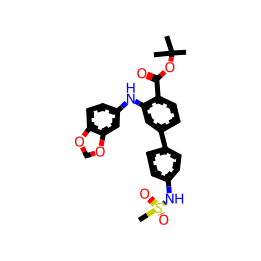 CC(C)(C)OC(=O)c1ccc(-c2ccc(NS(C)(=O)=O)cc2)cc1Nc1ccc2c(c1)OCO2